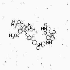 COc1ccc([C@]2(CCN(Cc3ccc(C4=CC[C@H](C(=O)N5CCC(Nc6ccc7c8c6CCCn8c(=O)n7C6CCC(=O)NC6=O)CC5)CC4)c(F)c3)CC(C)(C)C(F)(F)F)CCOC(C)(C)C2)cc1